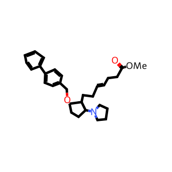 COC(=O)CCC=CCCC1C(OCc2ccc(-c3ccccc3)cc2)CCC1N1CCCC1